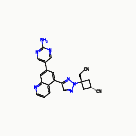 N#CC[C@]1(n2ncc(-c3cc(-c4cnc(N)nc4)cc4ncccc34)n2)C[C@@H](C#N)C1